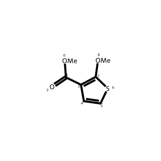 COC(=O)c1c[c]sc1OC